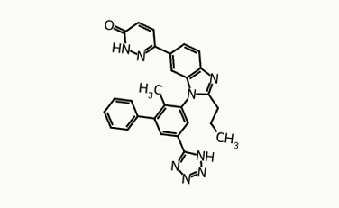 CCCc1nc2ccc(-c3ccc(=O)[nH]n3)cc2n1-c1cc(-c2nnn[nH]2)cc(-c2ccccc2)c1C